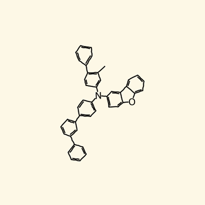 Cc1cc(N(c2ccc(-c3cccc(-c4ccccc4)c3)cc2)c2ccc3oc4ccccc4c3c2)ccc1-c1ccccc1